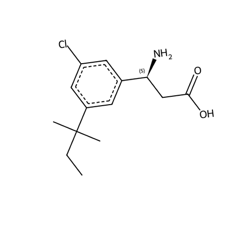 CCC(C)(C)c1cc(Cl)cc([C@@H](N)CC(=O)O)c1